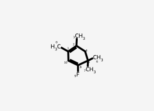 CC1=C(C)CC(C)(C)C(F)=C1